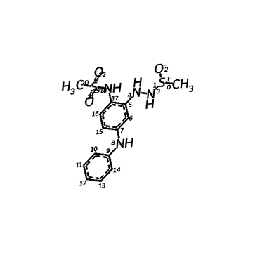 C[S+]([O-])NNc1cc(Nc2ccccc2)ccc1NS(C)(=O)=O